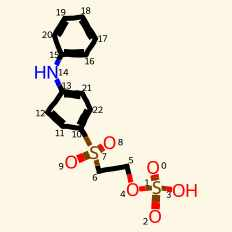 O=S(=O)(O)OCCS(=O)(=O)c1ccc(Nc2ccccc2)cc1